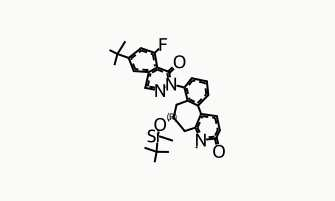 Cn1c2c(ccc1=O)-c1cccc(-n3ncc4cc(C(C)(C)C)cc(F)c4c3=O)c1C[C@@H](O[Si](C)(C)C(C)(C)C)C2